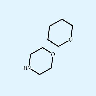 C1CCOCC1.C1COCCN1